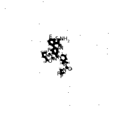 C[C@H](Oc1nc(N2CCCC3(CN(C(=O)N4CC(F)(F)C4)C3)C2)c2cc(Cl)c(-c3ccc(F)c4sc(N)c(C#N)c34)c(F)c2n1)C1CCCN1C